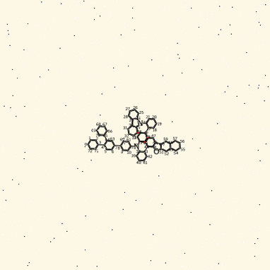 c1ccc(-c2ccc(-c3ccc(N(c4ccc(-c5ccccc5-n5c6ccccc6c6ccccc65)cc4)c4ccccc4-c4cccc5c4oc4cc6ccccc6cc45)cc3)cc2-c2ccccc2)cc1